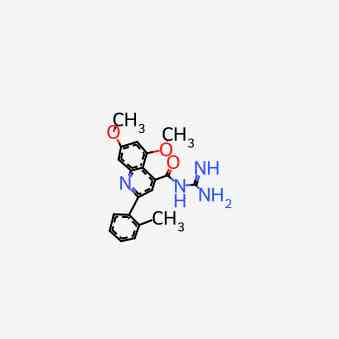 COc1cc(OC)c2c(C(=O)NC(=N)N)cc(-c3ccccc3C)nc2c1